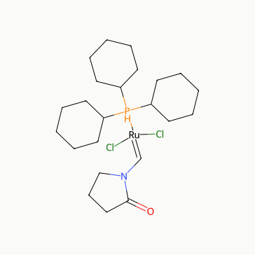 O=C1CCCN1[CH]=[Ru]([Cl])([Cl])[PH](C1CCCCC1)(C1CCCCC1)C1CCCCC1